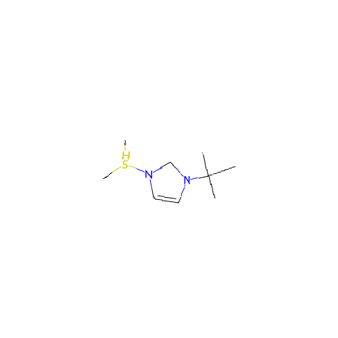 C[SH](C)N1C=CN(C(C)(C)C)C1